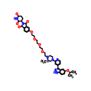 CC(C)Oc1ccc2[nH]nc(-c3ccnc(N4CCN(CCOCCOCCOCCOc5ccc6c(c5)C(=O)N(C5CCC(=O)NC5=O)C6=O)[C@@H](C)C4)c3)c2c1